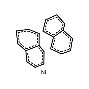 [Ni].c1ccc2ccccc2c1.c1ccc2ccccc2c1